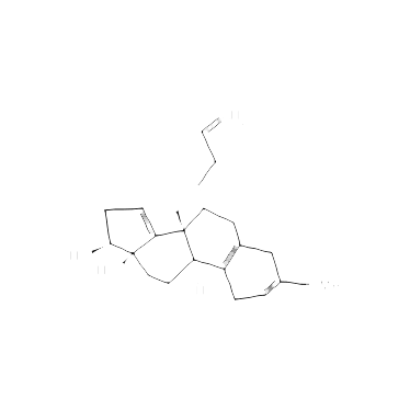 C=CCC[C@@H]1CC2=C(CC=C(OC)C2)[C@H]2CC[C@@]3(C)C(=CC[C@@H]3O)[C@H]12